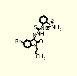 C=CCN1C(=O)C(=NNC(=S)Nc2ccccc2S(N)(=O)=O)c2cc(Br)ccc21